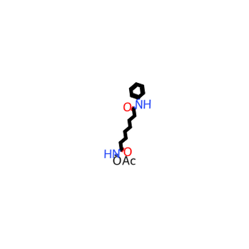 CC(=O)ONC(=O)CCCCCCC(=O)Nc1ccccc1